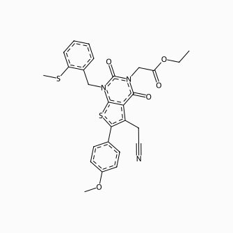 CCOC(=O)Cn1c(=O)c2c(CC#N)c(-c3ccc(OC)cc3)sc2n(Cc2ccccc2SC)c1=O